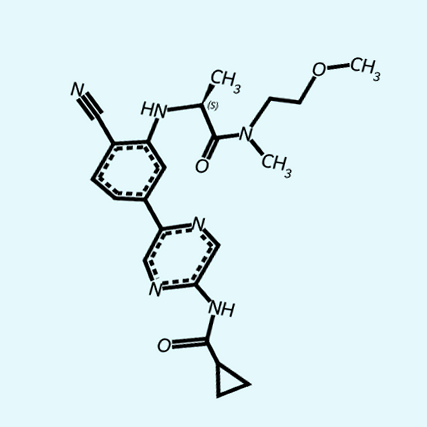 COCCN(C)C(=O)[C@H](C)Nc1cc(-c2cnc(NC(=O)C3CC3)cn2)ccc1C#N